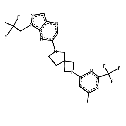 Cc1cc(N2CC3(CCN(c4cnc5cnn(CC(C)(F)F)c5n4)C3)C2)nc(C(F)(F)F)n1